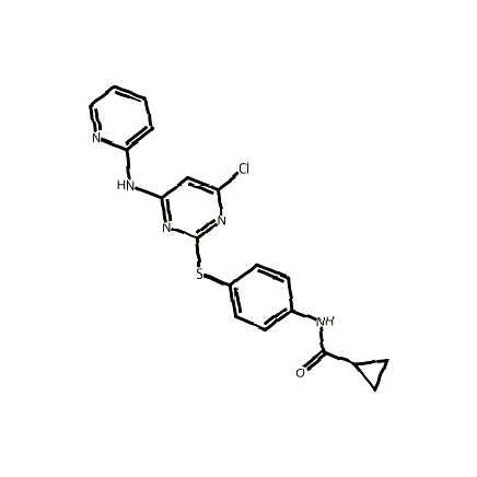 O=C(Nc1ccc(Sc2nc(Cl)cc(Nc3ccccn3)n2)cc1)C1CC1